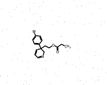 CCC(=O)OCCC1(c2ccc(Br)cc2)C=CC=NC1